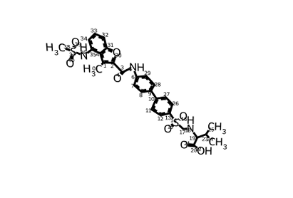 Cc1c(C(=O)Nc2ccc(-c3ccc(S(=O)(=O)CNC(C(=O)O)C(C)C)cc3)cc2)oc2cccc(NS(C)(=O)=O)c12